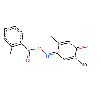 CC1=CC(=O)C(C(C)C)=C/C1=N/OC(=O)c1ccccc1C